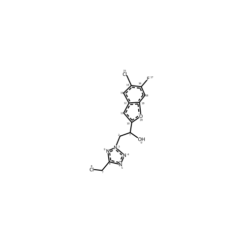 OC(Cn1nnc(CCl)n1)c1cc2cc(Cl)c(F)cc2o1